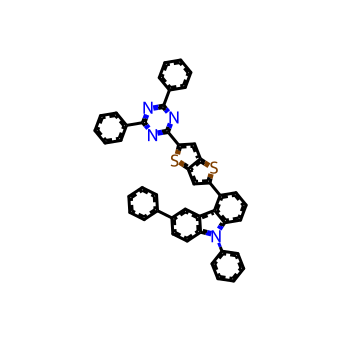 c1ccc(-c2ccc3c(c2)c2c(-c4cc5sc(-c6nc(-c7ccccc7)nc(-c7ccccc7)n6)cc5s4)cccc2n3-c2ccccc2)cc1